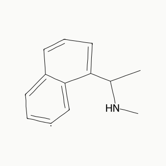 CNC(C)c1cccc2cc[c]cc12